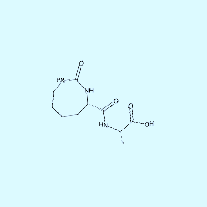 C[C@H](NC(=O)[C@@H]1CCCCNC(=O)N1)C(=O)O